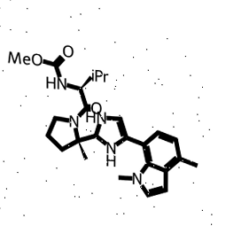 COC(=O)N[C@H](C(=O)N1CCC[C@@]1(C)C1NC=C(c2ccc(C)c3ccn(C)c23)N1)C(C)C